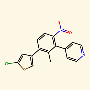 [CH2]c1c(-c2csc(Cl)c2)ccc([N+](=O)[O-])c1-c1ccncc1